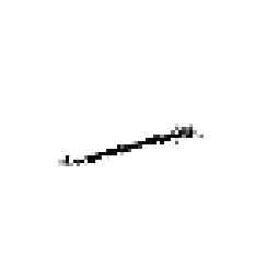 CCCCCCCCCCCCCCCCCCCCCCCCCCCCCCCCCC(=O)N(N)O